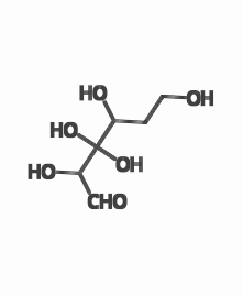 O=CC(O)C(O)(O)C(O)CCO